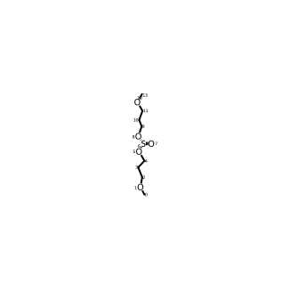 COCCCOS(=O)OCCCOC